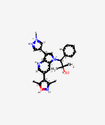 BC(B)(O)C(c1ccccc1)n1cc(-c2cnn(C)c2)c2ncc(-c3c(C)noc3C)cc21